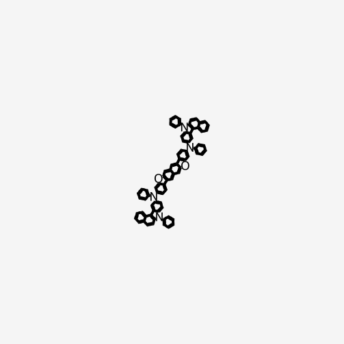 c1ccc(N(c2ccc3c(c2)oc2cc4cc5c(cc4cc23)oc2cc(N(c3ccccc3)c3ccc4c(c3)c3c6ccccc6ccc3n4-c3ccccc3)ccc25)c2ccc3c(c2)c2c4ccccc4ccc2n3-c2ccccc2)cc1